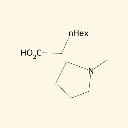 CCCCCCCC(=O)O.CN1CCCC1